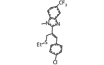 CCSC/C(=C\c1ccc(Cl)cc1)c1nc2cc(C(F)(F)F)ccc2n1C